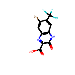 O=C(O)c1nc2cc(Br)c(C(F)(F)F)cc2[nH]c1=O